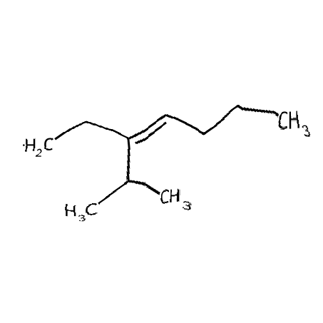 [CH2]C/C(=C/CCC)C(C)C